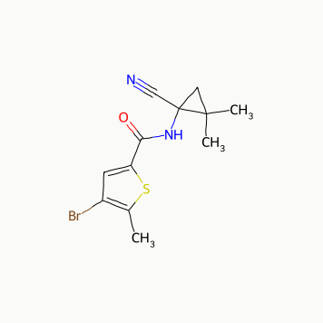 Cc1sc(C(=O)NC2(C#N)CC2(C)C)cc1Br